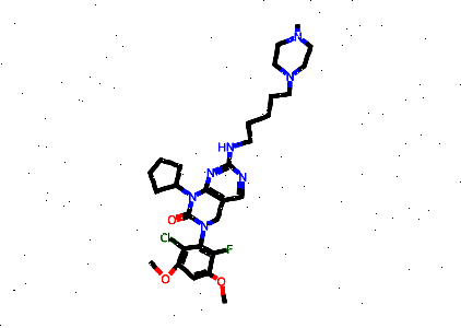 COc1cc(OC)c(Cl)c(N2Cc3cnc(NCCCCCN4CCN(C)CC4)nc3N(C3CCCC3)C2=O)c1F